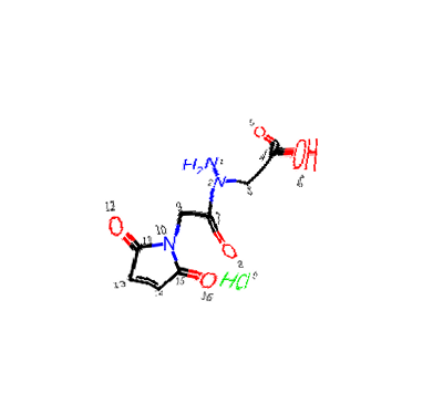 Cl.NN(CC(=O)O)C(=O)CN1C(=O)C=CC1=O